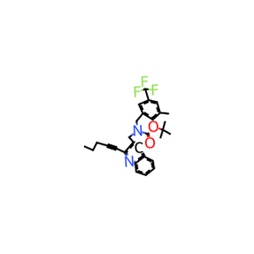 CCCC#Cc1nc2ccccc2cc1CN(Cc1cc(C)cc(C(F)(F)F)c1)C(=O)OC(C)(C)C